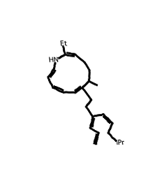 C=C/C=C(\C=C/CC(C)C)CC/C1=C/C=C\C=C\N/C(CC)=C\CCC1C